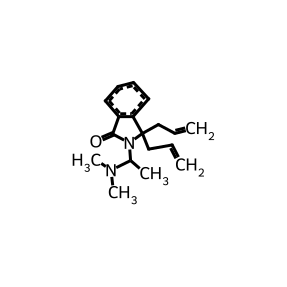 C=CCC1(CC=C)c2ccccc2C(=O)N1C(C)N(C)C